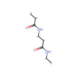 CCNC(=O)CCNC(=O)CC